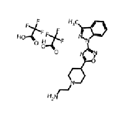 Cc1nn(-c2noc(C3CCN(CCN)CC3)n2)c2ccccc12.O=C(O)C(F)(F)F.O=C(O)C(F)(F)F